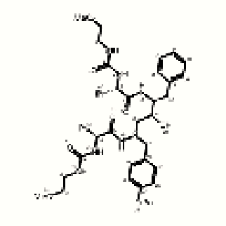 COCCNC(=O)N[C@H](C(=O)N[C@@H](Cc1ccccc1)[C@@H](O)CN(Cc1ccc(OCC(C)C)cc1)NC(=O)[C@@H](NC(=O)NCCOC)C(C)C)C(C)C